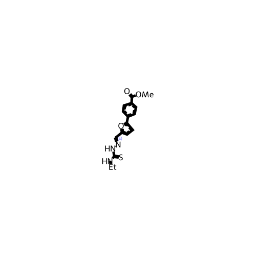 CCNC(=S)N/N=C/c1ccc(-c2ccc(C(=O)OC)cc2)o1